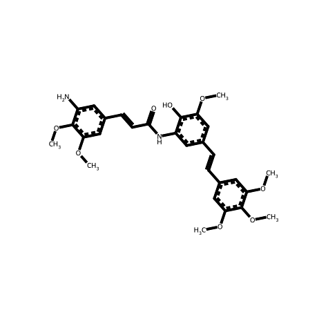 COc1cc(/C=C/c2cc(OC)c(OC)c(OC)c2)cc(NC(=O)/C=C/c2cc(N)c(OC)c(OC)c2)c1O